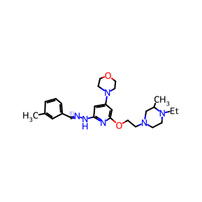 CCN1CCN(CCOc2cc(N3CCOCC3)cc(N/N=C/c3cccc(C)c3)n2)CC1C